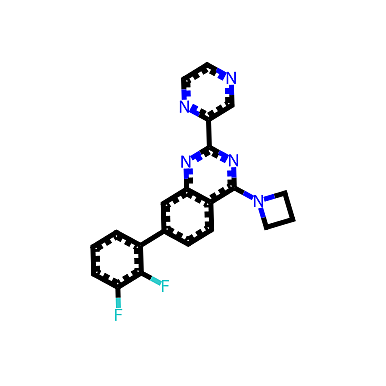 Fc1cccc(-c2ccc3c(N4CCC4)nc(-c4cnccn4)nc3c2)c1F